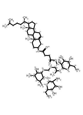 CC(C)CCC[C@@H](C)C1CCC2C3CC=C4CC(OC(=O)CCC(=O)OC[C@@H](OCOC5C(O)[C@H](N)CC(N)[C@H]5O[C@H]5OC(CN)[C@@H](O)C(O)C5N)C(C)O[C@H]5OC(CN)[C@@H](O)C(O)C5N)CC[C@]4(C)C3CC[C@@]21C